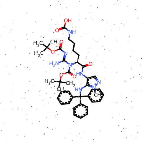 Cn1ncc(NC(=O)[C@H](CCCCNC(=O)O)N(C(=O)OC(C)(C)C)C(N)=NC(=O)OC(C)(C)C)c1NC(c1ccccc1)(c1ccccc1)c1ccccc1